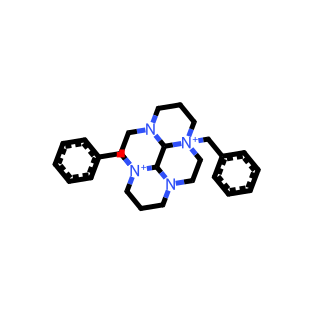 c1ccc(C[N+]23CCCN4CC[N+]5(Cc6ccccc6)CCCN(CC2)C5C43)cc1